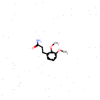 COc1cccc(CCC(N)=O)c1OC